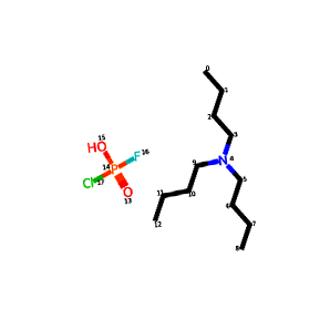 CCCCN(CCCC)CCCC.O=P(O)(F)Cl